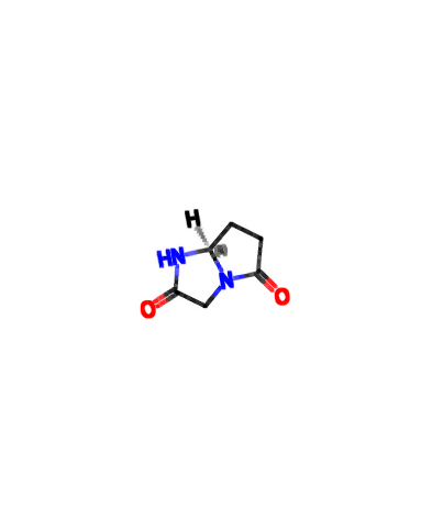 O=C1CN2C(=O)CC[C@@H]2N1